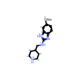 COc1ccc2nc(NCC3CCNCC3)[nH]c2c1